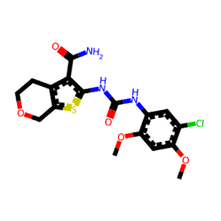 COc1cc(OC)c(NC(=O)Nc2sc3c(c2C(N)=O)CCOC3)cc1Cl